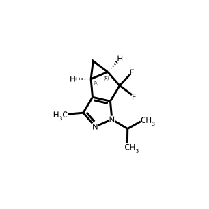 Cc1nn(C(C)C)c2c1[C@H]1C[C@H]1C2(F)F